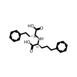 O=C(O)[C@H](CCCc1ccccc1)N[C@H](CCc1ccccc1)C(=O)O